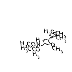 COc1cc(CNC(=O)OC(C)(C)C)ccc1C#C[Si](C)(C)C